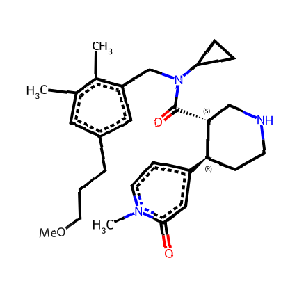 COCCCc1cc(C)c(C)c(CN(C(=O)[C@@H]2CNCC[C@H]2c2ccn(C)c(=O)c2)C2CC2)c1